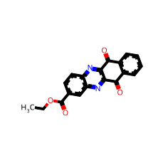 CCOC(=O)c1ccc2nc3c(nc2c1)C(=O)c1ccccc1C3=O